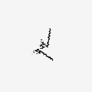 CCCCCCCCCCCCC(C)N(CCCCN(CC(O)CN)C(C)CCCCCCCCCCCC)CC(O)CN